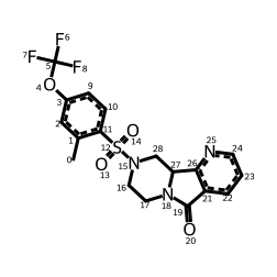 Cc1cc(OC(F)(F)F)ccc1S(=O)(=O)N1CCN2C(=O)c3cccnc3C2C1